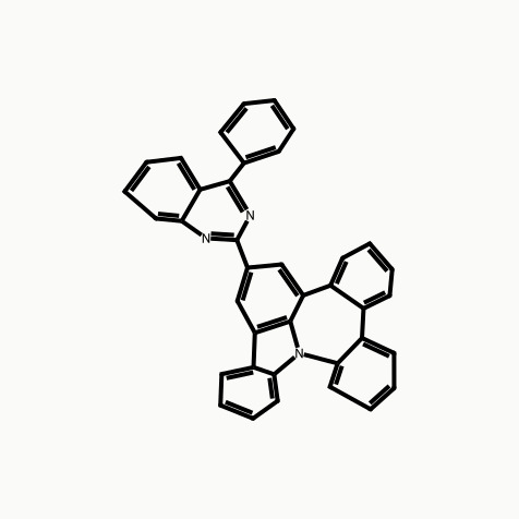 c1ccc(-c2nc(-c3cc4c5c(c3)c3ccccc3n5-c3ccccc3-c3ccccc3-4)nc3ccccc23)cc1